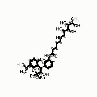 CCCCC(CC)(CC)[C@H](O)[C@H](c1cccc(NC(=O)CCCCNCC(O)C(O)C(O)[C@@H](C)O)c1)c1cc(N(C)C)ccc1C